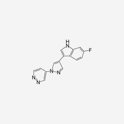 Fc1ccc2c(-c3cnn(-c4ccnnc4)c3)c[nH]c2c1